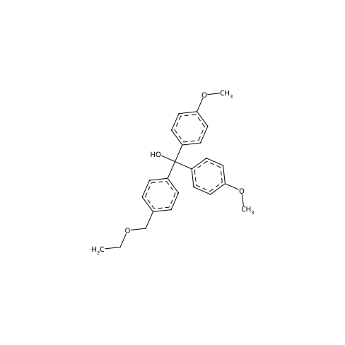 [CH2]COCc1ccc(C(O)(c2ccc(OC)cc2)c2ccc(OC)cc2)cc1